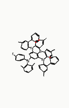 Cc1ccc2c(c1)B1c3cc(C)ccc3N(c3ccc(C)cc3-c3ccccc3)c3cc(N(c4ccc(F)cc4)c4c(C)cccc4C)cc(c31)N2c1ccc(C)cc1-c1ccccc1